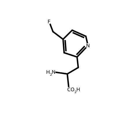 NC(Cc1cc(CF)ccn1)C(=O)O